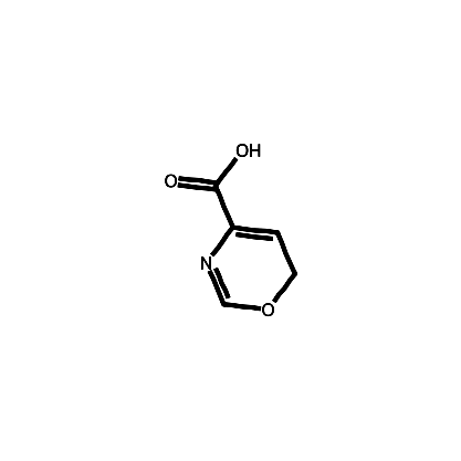 O=C(O)C1=CCOC=N1